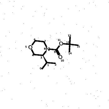 CC(C)[C@H]1COCCN1C(=O)OC(C)(C)C